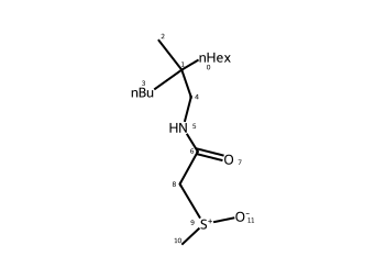 CCCCCCC(C)(CCCC)CNC(=O)C[S+](C)[O-]